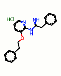 Cl.N=C(Cc1ccccc1)Nc1ncccc1OCCc1ccccc1